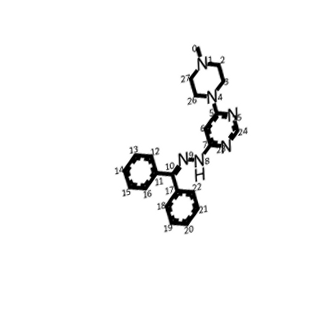 CN1CCN(c2cc(NN=C(c3ccccc3)c3ccccc3)ncn2)CC1